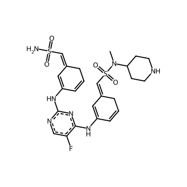 CN(C1CCNCC1)S(=O)(=O)C=C1C=C(Nc2nc(NC3=CC(=CS(N)(=O)=O)CC=C3)ncc2F)C=CC1